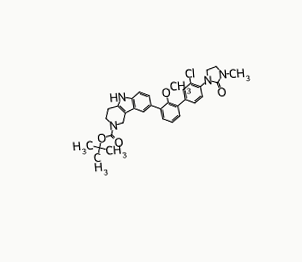 COc1c(-c2ccc(N3CCN(C)C3=O)c(Cl)c2)cccc1-c1ccc2[nH]c3c(c2c1)CN(C(=O)OC(C)(C)C)CC3